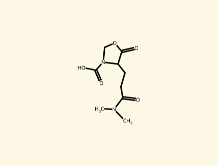 CN(C)C(=O)CCC1C(=O)OCN1C(=O)O